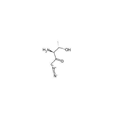 C[C@H](O)[C@H](N)C(=O)C=[N+]=[N-]